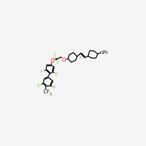 CCCC1CCC(/C=C/C2CCC(OCC(F)(F)Oc3cc(F)c(-c4cc(F)c(C(F)(F)F)c(F)c4)c(F)c3)CC2)CC1